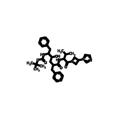 CC(C)C(NC(=O)C(Cc1ccccc1)CC(O)C(Cc1ccccc1)NC(=O)OC(C)(C)C)C(=O)N1CC(n2ccnc2)C1